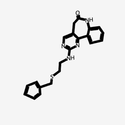 O=C1Cc2cnc(NCCSCc3ccccc3)nc2-c2ccccc2N1